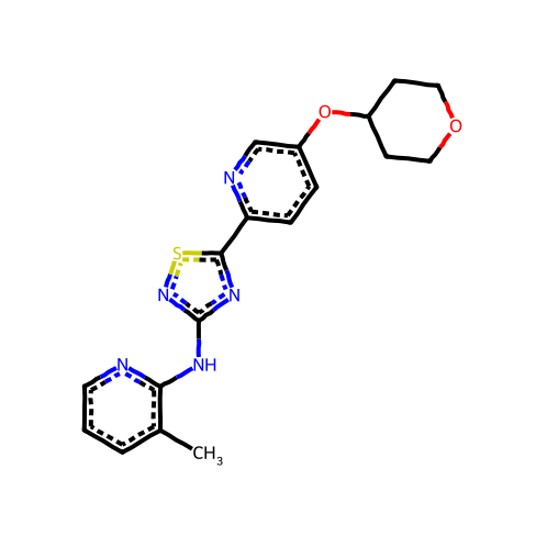 Cc1cccnc1Nc1nsc(-c2ccc(OC3CCOCC3)cn2)n1